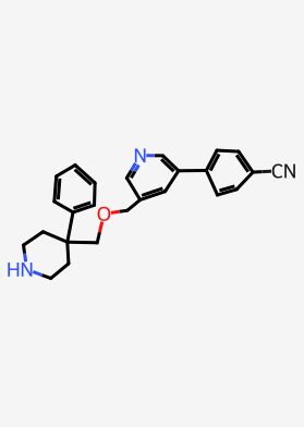 N#Cc1ccc(-c2cncc(COCC3(c4ccccc4)CCNCC3)c2)cc1